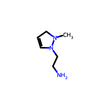 CN1CC=CN1CCN